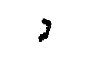 CC(C)(C)Oc1cccc(OCCCOc2ccc(OS(C)(=O)=O)cc2)c1